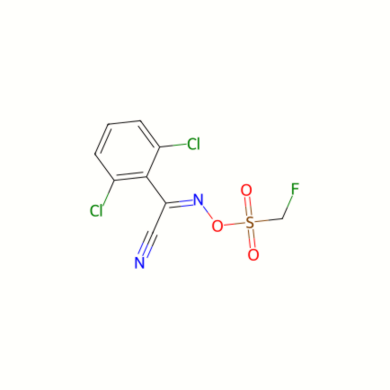 N#CC(=NOS(=O)(=O)CF)c1c(Cl)cccc1Cl